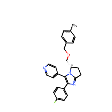 CC(C)(C)c1ccc(COC[C@@H]2CCc3nc(-c4ccc(F)cc4)c(-c4ccncc4)n32)cc1